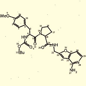 COc1ccc(CC(NC(=O)OC(C)(C)C)C(=O)N2CCCC2C(=O)NCc2cc3c(N)nccc3o2)cc1